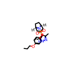 CCCOc1ccc(O[C@@H]2C[C@H]3CC[C@@H](C2)N3S(=O)(=O)c2c(C)n[nH]c2C)cc1